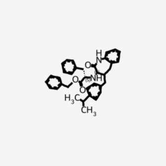 CC(C)c1ccc(CC2Cc3ccccc3NC(=O)[C@@H]2N[C@@H](Cc2ccccc2)C(=O)OCc2ccccc2)cc1